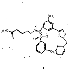 COC(=O)CCCCNN(c1cc(C2=COC(Cc3ccccc3)O2)cc([N+](=O)[O-])c1)S(=O)(=O)c1cccc(C)c1